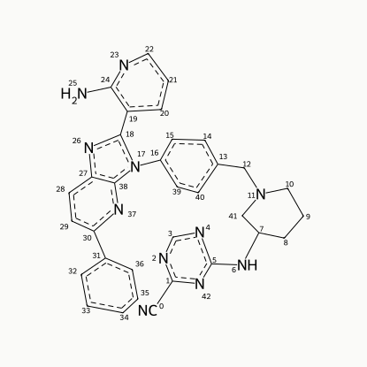 N#Cc1ncnc(NC2CCCN(Cc3ccc(-n4c(-c5cccnc5N)nc5ccc(-c6ccccc6)nc54)cc3)C2)n1